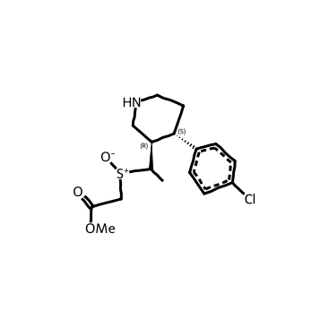 COC(=O)C[S+]([O-])C(C)[C@H]1CNCC[C@@H]1c1ccc(Cl)cc1